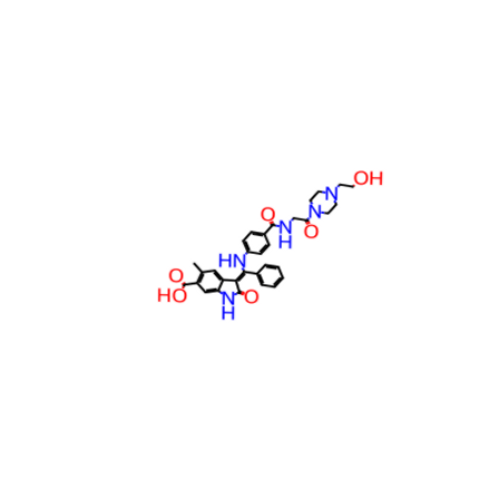 Cc1cc2c(cc1C(=O)O)NC(=O)/C2=C(/Nc1ccc(C(=O)NCC(=O)N2CCN(CCO)CC2)cc1)c1ccccc1